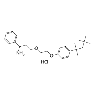 CC(C)(C)CC(C)(C)c1ccc(OCCOCCC(N)c2ccccc2)cc1.Cl